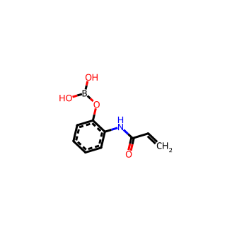 C=CC(=O)Nc1ccccc1OB(O)O